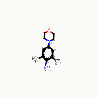 Cc1cc(N2CCOCC2)cc(C(F)(F)F)c1N